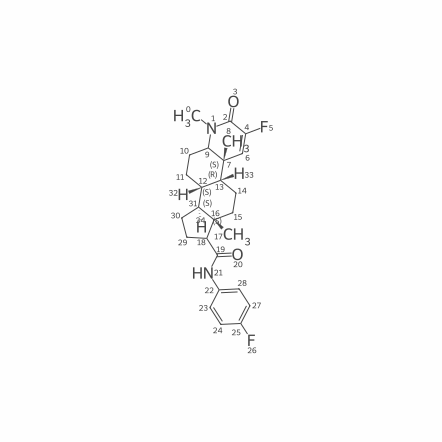 CN1C(=O)C(F)=C[C@@]2(C)C1CC[C@@H]1[C@H]2CC[C@]2(C)C(C(=O)Nc3ccc(F)cc3)CC[C@@H]12